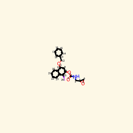 O=C(NCC1CO1)Oc1cc(OCc2ccccc2)c2ccccc2c1I